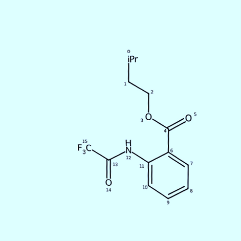 CC(C)CCOC(=O)c1ccccc1NC(=O)C(F)(F)F